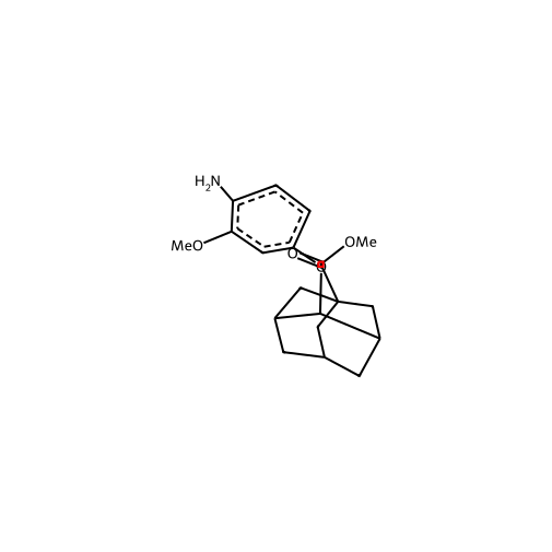 COC(=O)C12CC3CC(C1)C(Oc1ccc(N)c(OC)c1)C(C3)C2